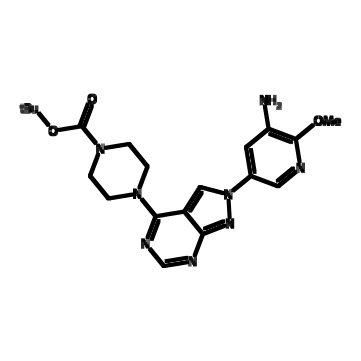 COc1ncc(-n2cc3c(N4CCN(C(=O)OC(C)(C)C)CC4)ncnc3n2)cc1N